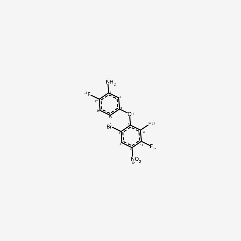 Nc1cc(Oc2c(Br)cc([N+](=O)[O-])c(F)c2F)ccc1F